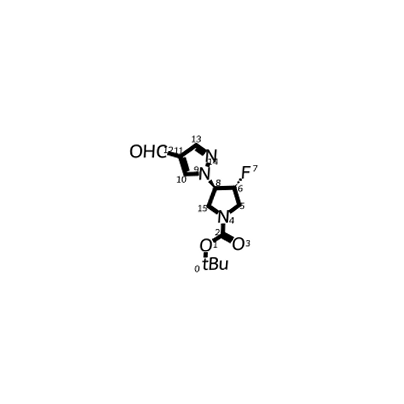 CC(C)(C)OC(=O)N1C[C@@H](F)[C@H](n2cc(C=O)cn2)C1